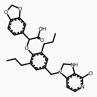 CCCc1cc(CN2CNc3c2ccnc3Cl)cc(CCC)c1OC(C(=O)O)c1ccc2c(c1)OCO2